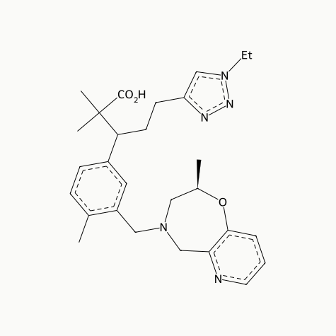 CCn1cc(CCC(c2ccc(C)c(CN3Cc4ncccc4O[C@H](C)C3)c2)C(C)(C)C(=O)O)nn1